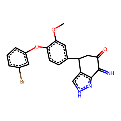 COc1cc(C2CC(=O)C(=N)c3n[nH]cc32)ccc1Oc1cccc(Br)c1